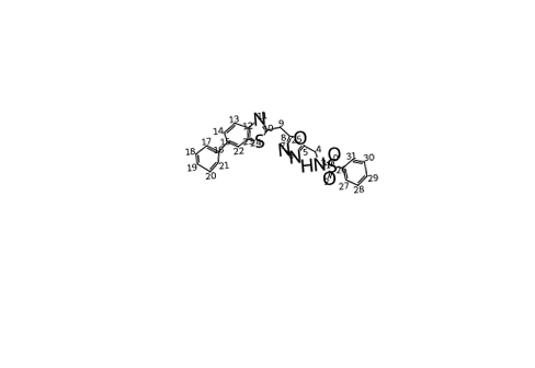 O=S(=O)(NCc1nnc(Cc2nc3ccc(-c4ccccc4)cc3s2)o1)c1ccccc1